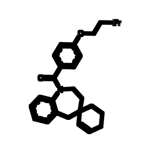 CC(C)CCOc1ccc(C(=O)N2CCC3(C=CCCC3)Cc3ccccc32)cc1